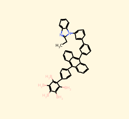 Bc1c(B)c(B)c(-c2ccc(-c3c4ccccc4c(-c4cccc(-c5cccc(-n6c(CC)nc7ccccc76)c5)c4)c4ccccc34)cc2)c(B)c1B